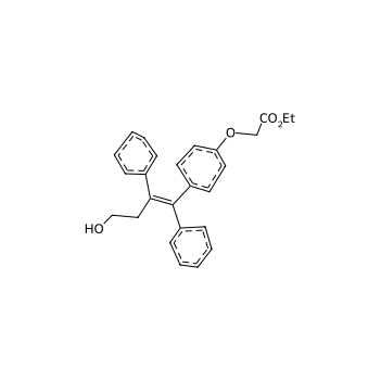 CCOC(=O)COc1ccc(/C(=C(/CCO)c2ccccc2)c2ccccc2)cc1